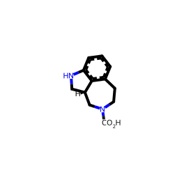 O=C(O)N1CCc2cccc3c2[C@@H](CN3)C1